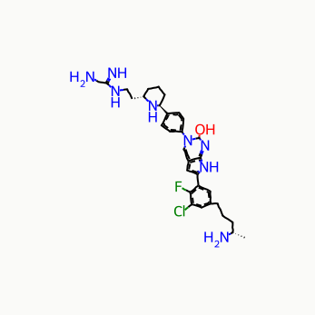 C[C@H](N)CCCc1cc(Cl)c(F)c(-c2cc3c([nH]2)=NC(O)N(c2ccc([C@@H]4CCC[C@@H](CCNC(=N)CN)N4)cc2)C=3)c1